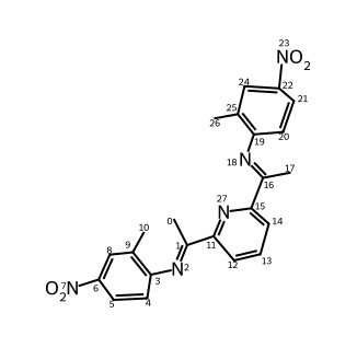 CC(=Nc1ccc([N+](=O)[O-])cc1C)c1cccc(C(C)=Nc2ccc([N+](=O)[O-])cc2C)n1